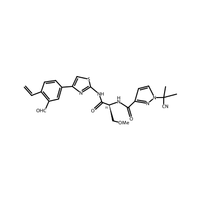 C=Cc1ccc(-c2csc(NC(=O)[C@H](COC)NC(=O)c3ccn(C(C)(C)C#N)n3)n2)cc1C=O